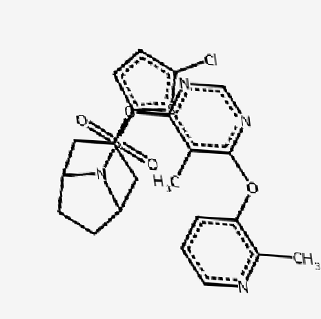 Cc1ncccc1Oc1ncnc(OC2CC3CCC(C2)N3S(=O)(=O)c2ccc(Cl)s2)c1C